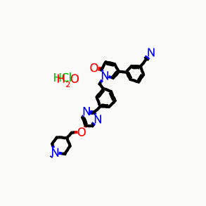 CN1CCC(COc2cnc(-c3cccc(Cn4cc(-c5cccc(C#N)c5)ccc4=O)c3)nc2)CC1.Cl.O